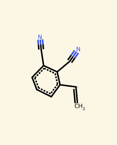 C=[C]c1cccc(C#N)c1C#N